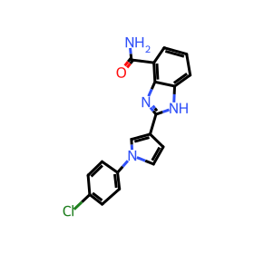 NC(=O)c1cccc2[nH]c(-c3ccn(-c4ccc(Cl)cc4)c3)nc12